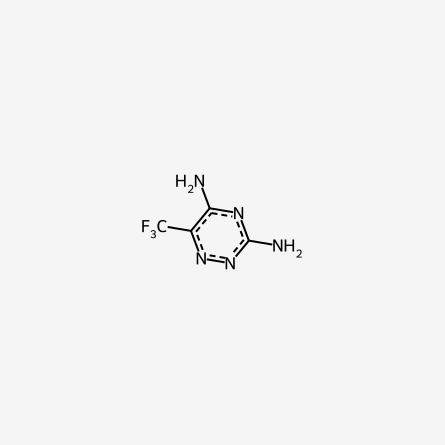 Nc1nnc(C(F)(F)F)c(N)n1